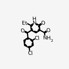 CCc1[nH]c(=O)c(C(N)=O)cc1C(=O)c1ccc(Cl)cc1Cl